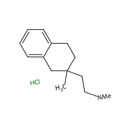 CNCCC1(C)CCc2ccccc2C1.Cl